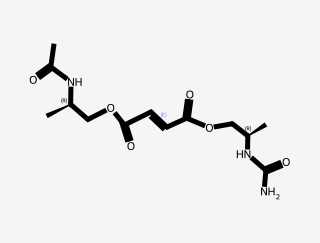 CC(=O)N[C@H](C)COC(=O)/C=C/C(=O)OC[C@@H](C)NC(N)=O